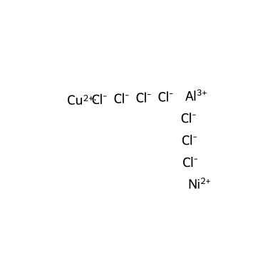 [Al+3].[Cl-].[Cl-].[Cl-].[Cl-].[Cl-].[Cl-].[Cl-].[Cu+2].[Ni+2]